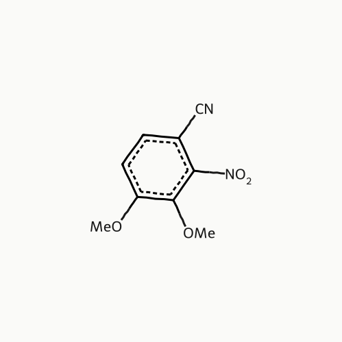 COc1ccc(C#N)c([N+](=O)[O-])c1OC